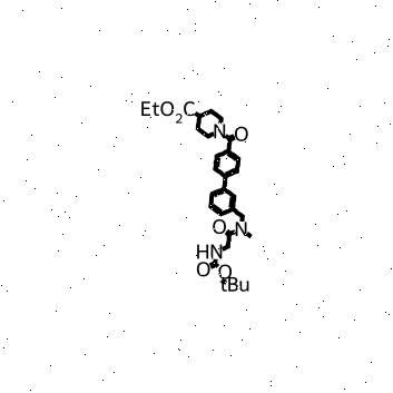 CCOC(=O)C1CCN(C(=O)c2ccc(-c3cccc(CN(C)C(=O)CNC(=O)OC(C)(C)C)c3)cc2)CC1